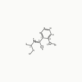 CCC(C)/N=C(\Cl)c1ccccc1OC